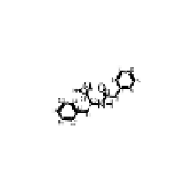 O=C(Cc1ccccc1)N[C@@H](Cc1ccccc1)[C@H]1CO1